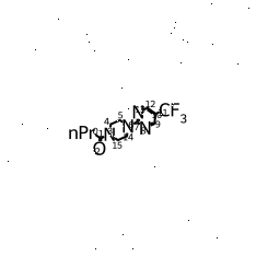 [CH2]CCC(=O)N1CCN(c2ncc(C(F)(F)F)cn2)CC1